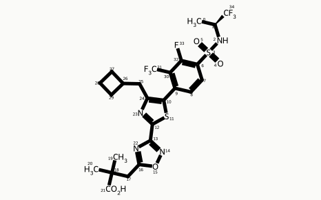 C[C@H](NS(=O)(=O)c1ccc(-c2sc(-c3noc(CC(C)(C)C(=O)O)n3)nc2CC2CCC2)c(C(F)(F)F)c1F)C(F)(F)F